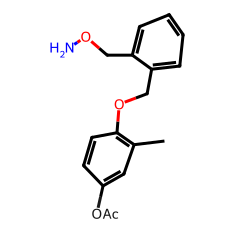 CC(=O)Oc1ccc(OCc2ccccc2CON)c(C)c1